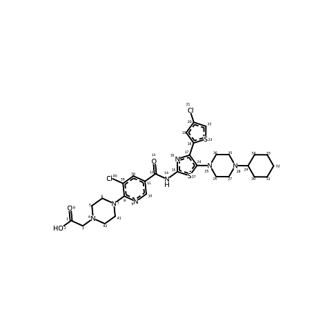 O=C(O)CN1CCN(c2ncc(C(=O)Nc3nc(-c4cc(Cl)cs4)c(N4CCN(C5CCCCC5)CC4)s3)cc2Cl)CC1